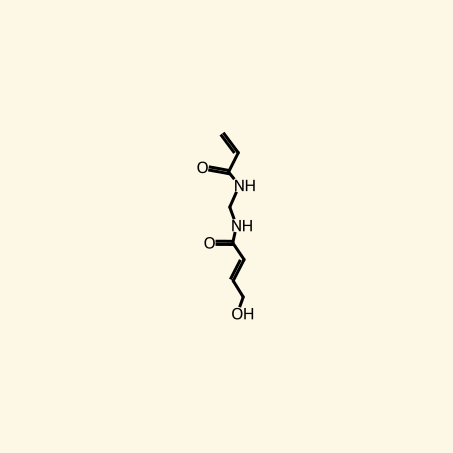 C=CC(=O)NCNC(=O)C=CCO